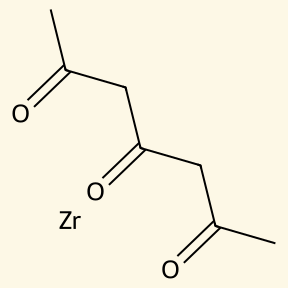 CC(=O)CC(=O)CC(C)=O.[Zr]